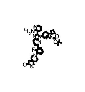 CN1CC2(CCN(c3cccc(-c4ccc5nc(-c6cccnc6N)n(-c6ccc(C7(NC(=O)OC(C)(C)C)CCC7)cc6)c5n4)c3F)CC2)CC1=O